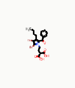 CCCCc1c(Br)c(Br)n(CCC(C(=O)O)C(=O)O)c1C(=O)c1ccccc1